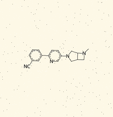 CN1CC2CN(c3ccc(-c4cccc(C#N)c4)nc3)CC21